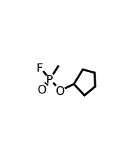 CP(=O)(F)OC1CCCC1